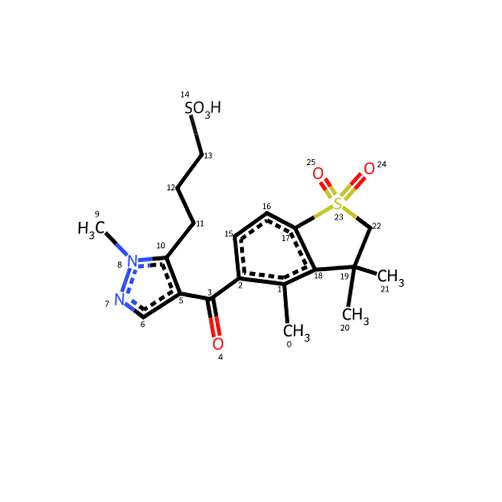 Cc1c(C(=O)c2cnn(C)c2CCCS(=O)(=O)O)ccc2c1C(C)(C)CS2(=O)=O